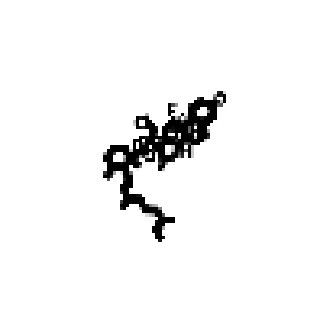 CC=C(C)C=CC=C(C)C=CC1=C(C)CCCC1(C)C(=O)O[C@@]1(C(=O)CCl)[C@H](C)C[C@H]2[C@@H]3CCC4=CC(=O)C=C[C@]4(C)[C@@]3(Cl)[C@@H](F)C[C@@]21C